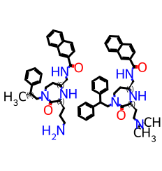 CN(C)CC[C@@H]1N[C@H](CNC(=O)c2ccc3ccccc3c2)CCN(CC(c2ccccc2)c2ccccc2)C1=O.C[C@@H](CN1CC[C@@H](CNC(=O)c2ccc3ccccc3c2)N[C@@H](CCCN)C1=O)c1ccccc1